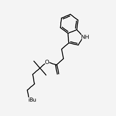 C=C(CCc1c[nH]c2ccccc12)OC(C)(C)CCCC(C)CC